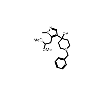 COC(Cc1c(C2(O)CCN(Cc3ccccc3)CC2)cnn1C)OC